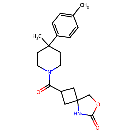 Cc1ccc(C2(C)CCN(C(=O)C3CC4(COC(=O)N4)C3)CC2)cc1